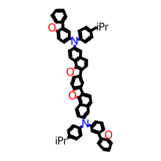 CC(C)c1ccc(N(c2ccc3c(ccc4c5cc6c(cc5oc34)oc3c4ccc(N(c5ccc(C(C)C)cc5)c5ccc7oc8ccccc8c7c5)cc4ccc63)c2)c2ccc3oc4ccccc4c3c2)cc1